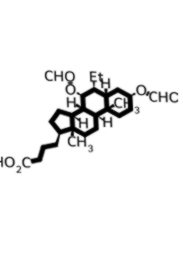 CC[C@H]1[C@@H](OC=O)[C@@H]2[C@H](CC[C@]3(C)[C@@H](CCCC(=O)O)CC[C@@H]23)[C@@]2(C)CC[C@@H](OC=O)C[C@@H]12